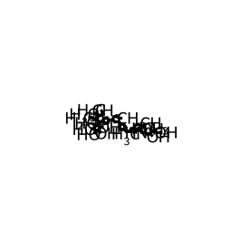 C=C/C=C(\C(/C=C\C)=C(C)C)N(c1ccc(C(/C=C\CC)=C/Cc2ccc(\C=C/C=C(/C=C\C=C/C)C(\C)=C\NC(O)/C=C(O)\C(O)=C/CO)cc2)cc1)c1c(O)c(O)c(O)c(O)c1O